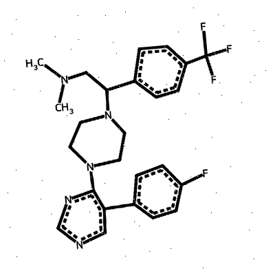 CN(C)CC(c1ccc(C(F)(F)F)cc1)N1CCN(c2ncncc2-c2ccc(F)cc2)CC1